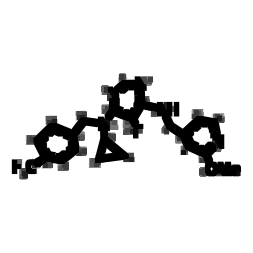 COc1cc(CNc2ncnc(N(Cc3ccc(C(F)(F)F)cc3)C3CC3)c2F)ccn1